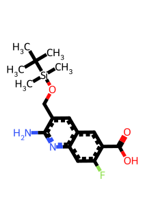 CC(C)(C)[Si](C)(C)OCc1cc2cc(C(=O)O)c(F)cc2nc1N